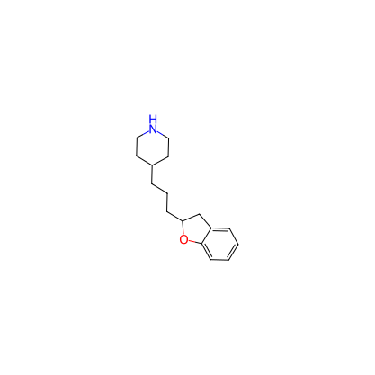 c1ccc2c(c1)CC(CCCC1CCNCC1)O2